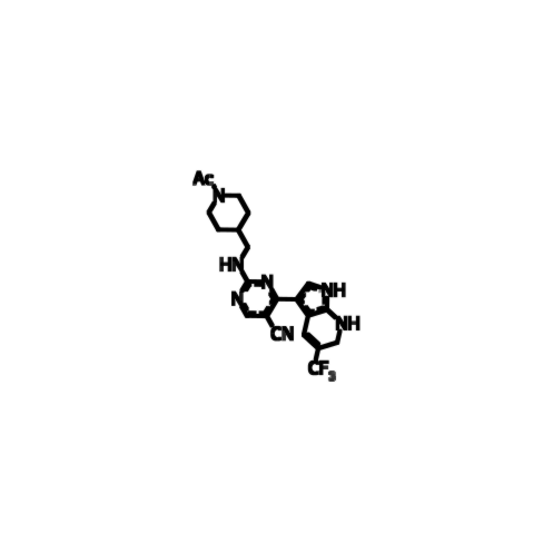 CC(=O)N1CCC(CNc2ncc(C#N)c(-c3c[nH]c4c3C=C(C(F)(F)F)CN4)n2)CC1